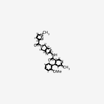 COc1ccccc1-c1cc(C)ncc1C(=O)Nc1nc2c(s1)CN(C(=O)c1ccn(C)n1)C2